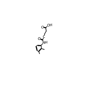 Cc1cccc(NC(=O)CCCC(=O)O)c1C